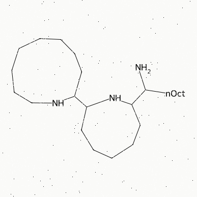 CCCCCCCCC(N)C1CCCCCC(C2CCCCCCCCN2)N1